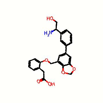 NC(CO)c1cccc(-c2cc(COc3ccccc3CC(=O)O)c3c(c2)OCO3)c1